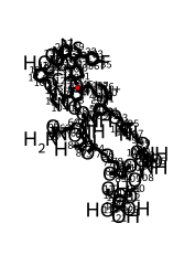 COc1ccccc1-c1nccc(COc2ccccc2C[C@@H](Oc2ncnc3sc(-c4ccc(F)cc4)c(-c4ccc(OCCN5CC[N+](C)(Cc6ccc(NC(=O)[C@H](CCCNC(N)=O)NC(=O)[C@@H](NC(=O)CCOCCN7C(=O)C=CC7=O)C(C)C)cc6COCc6cn(CCOC(=O)NS(=O)(=O)NCCOCCO[C@@H]7O[C@H](CO)[C@@H](O)[C@H](O)[C@H]7O)nn6)CC5)c(Cl)c4C)c23)C(O)O)n1